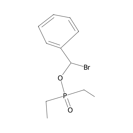 CCP(=O)(CC)OC(Br)c1ccccc1